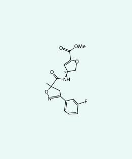 COC(=O)C1=C[C@H](NC(=O)C2(C)CC(c3cccc(F)c3)=NO2)CO1